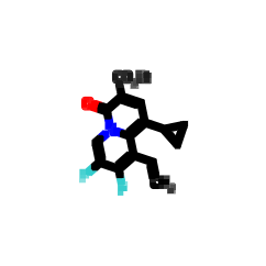 C=Cc1c(F)c(F)cn2c(=O)c(C(=O)OCC)cc(C3CC3)c12